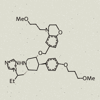 CCC(C[C@H]1C[C@H](c2ccc(OCCCOC)cc2)[C@@H](OCc2ccc3c(c2)N(CCCOC)CCO3)CN1)n1cncn1